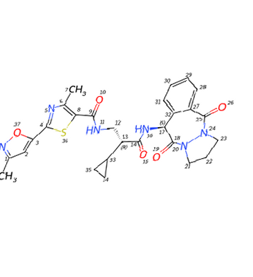 Cc1cc(-c2nc(C)c(C(=O)NC[C@H](C(=O)N[C@@H]3C(=O)N4CCCN4C(=O)c4ccccc43)C3CC3)s2)on1